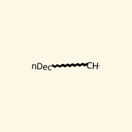 [CH]=C/C=C/C=C/C=C/C=C/C=C/CCCCCCCCCCCCCC